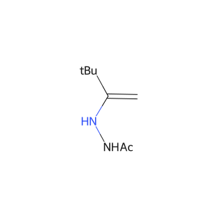 C=C(NNC(C)=O)C(C)(C)C